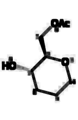 CC(=O)OC[C@H]1O[CH]C[CH][C@@H]1O